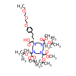 CCOCCOCCOc1ccc(CCC[C@@H](C(=O)O)N2CCN([C@@H](COC(C)(C)C)C(=O)OC)CCN([C@H](COC(C)(C)C)C(=O)OC)CCN([C@@H](COC(C)(C)C)C(=O)OC)CC2)cc1